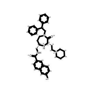 O=C(NC[C@@H]1CCN(CC(c2ccccc2)c2ccccc2)C(=O)[C@H](CCN2CCCCC2)N1)c1ccc2cc(I)ccc2c1